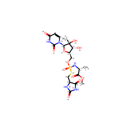 CC(C)OC(=O)[C@@H](C)NP(=O)(OC[C@H]1O[C@@H](n2ccc(=O)[nH]c2=O)[C@](C)(O)[C@@H]1O)SCC1NC(=O)NC1=O